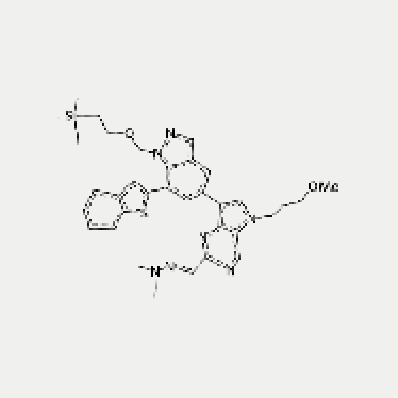 COCCCn1cc(-c2cc(-c3cc4ccccc4s3)c3c(cnn3COCC[Si](C)(C)C)c2)c2nc(C=NN(C)C)ncc21